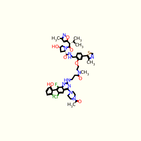 CC(=O)N1CCN(c2nc(NCCC(=O)N(C)CCOc3cc(-c4scnc4C)ccc3CNC(=O)[C@@H]3C[C@@H](O)CN3C(=O)[C@H](c3cc(C)no3)C(C)C)nc3c(F)c(-c4c(O)cccc4F)c(Cl)cc23)CC1